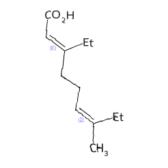 CC/C(C)=C\CC/C(=C/C(=O)O)CC